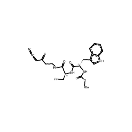 CC(C)C[C@H](NC(=O)[C@H](Cc1c[nH]c2ccccc12)NC(=O)OC(C)(C)C)C(=O)NCCC(=O)C=[N+]=[N-]